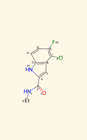 CCNC(=O)c1cc2c(Cl)c(F)ccc2[nH]1